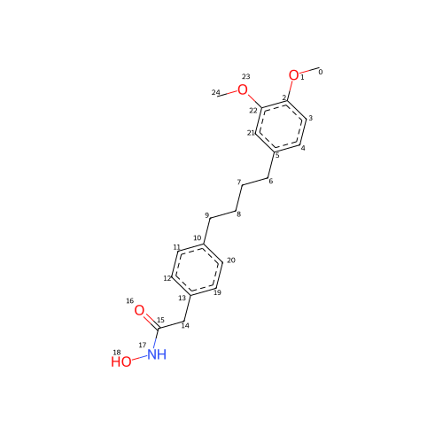 COc1ccc(CCCCc2ccc(CC(=O)NO)cc2)cc1OC